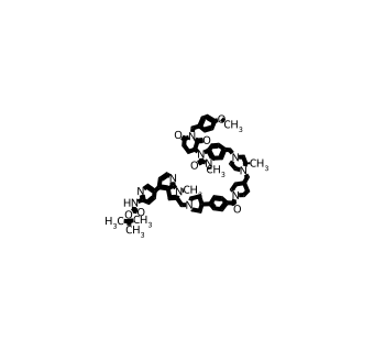 COc1ccc(CN2C(=O)CCC(n3c(=O)n(C)c4cc(CN5CCN(CC6CCN(C(=O)c7ccc(C8CCN(Cc9cc%10c(-c%11ccc(NC(=O)OC(C)(C)C)nc%11)ccnc%10n9C)CC8)cc7)CC6)[C@H](C)C5)ccc43)C2=O)cc1